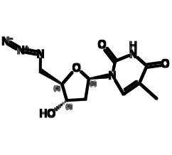 Cc1cn([C@H]2C[C@H](O)[C@@H](CN=[N+]=[N-])O2)c(=O)[nH]c1=O